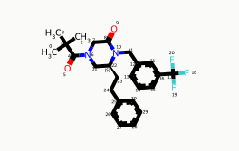 CC(C)(C)C(=O)N1CC(=O)N(Cc2cccc(C(F)(F)F)c2)[C@@H](CCc2ccccc2)C1